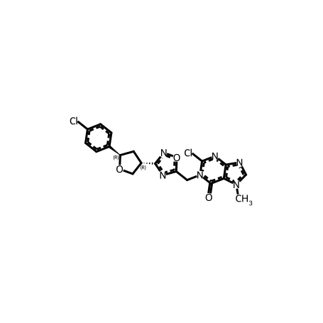 Cn1cnc2nc(Cl)n(Cc3nc([C@@H]4CO[C@@H](c5ccc(Cl)cc5)C4)no3)c(=O)c21